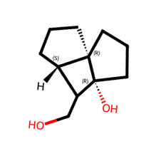 OCC1[C@@H]2CCC[C@@]23CCC[C@@]13O